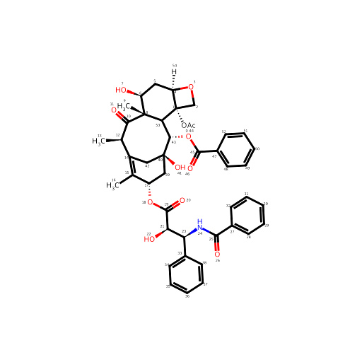 CC(=O)O[C@@]12CO[C@@H]1C[C@H](O)[C@@]1(C)C(=O)[C@H](C)C3=C(C)[C@@H](OC(=O)[C@H](O)[C@@H](NC(=O)c4ccccc4)c4ccccc4)C[C@](O)(C3)[C@@H](OC(=O)c3ccccc3)C12